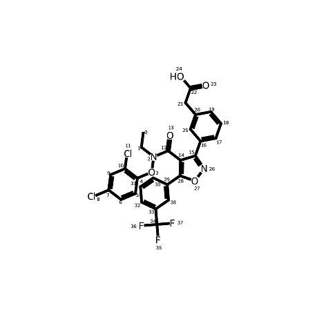 CCN(Oc1ccc(Cl)cc1Cl)C(=O)c1c(-c2cccc(CC(=O)O)c2)noc1-c1cccc(C(F)(F)F)c1